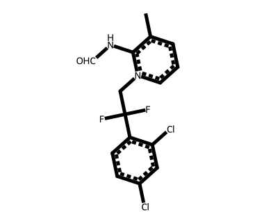 Cc1ccc[n+](CC(F)(F)c2ccc(Cl)cc2Cl)c1NC=O